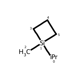 CC(C)[Si]1(C)CCC1